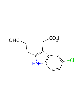 O=CCCc1[nH]c2ccc(Cl)cc2c1CC(=O)O